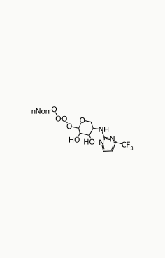 CCCCCCCCCOOOOC1OCC(Nc2nccc(C(F)(F)F)n2)C(O)C1O